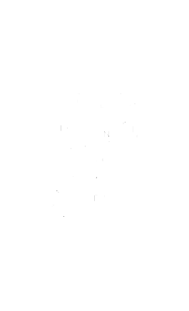 Cc1c(-c2ccc(-c3ccccc3F)cc2)nc2c(F)cccc2c1C